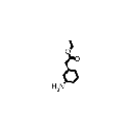 CCOC(=O)C[C@H]1CCC[C@@H](N)C1